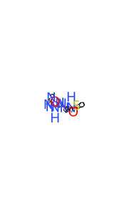 Cn1nc(Nc2cc(N3CCC[C@@H](NC(=O)c4cc5ccccc5s4)C3)nn(C)c2=O)cc1CN1CCC1